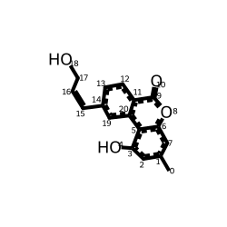 Cc1cc(O)c2c(c1)oc(=O)c1ccc(/C=C\CO)cc12